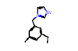 CCc1cc(C)cc(C[n+]2cc[nH]c2)c1